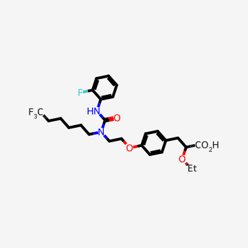 CCOC(Cc1ccc(OCCN(CCCCCC(F)(F)F)C(=O)Nc2ccccc2F)cc1)C(=O)O